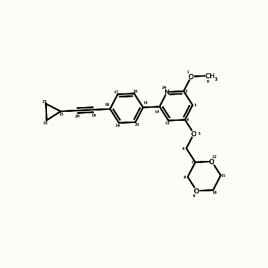 COc1cc(OCC2COCCO2)cc(-c2ccc(C#CC3CC3)cc2)n1